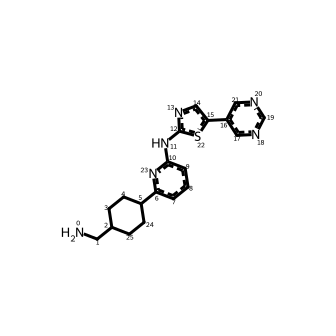 NCC1CCC(c2cccc(Nc3ncc(-c4cncnc4)s3)n2)CC1